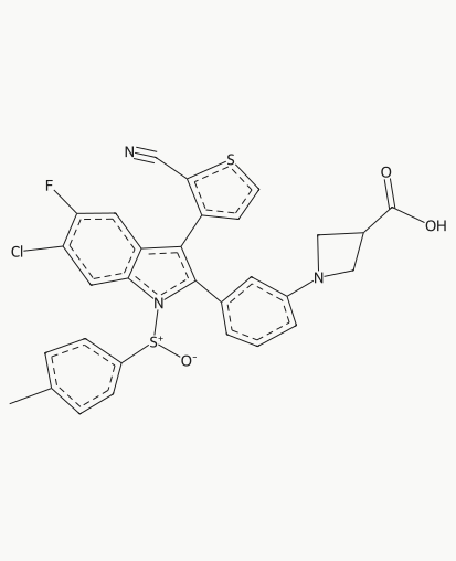 Cc1ccc([S+]([O-])n2c(-c3cccc(N4CC(C(=O)O)C4)c3)c(-c3ccsc3C#N)c3cc(F)c(Cl)cc32)cc1